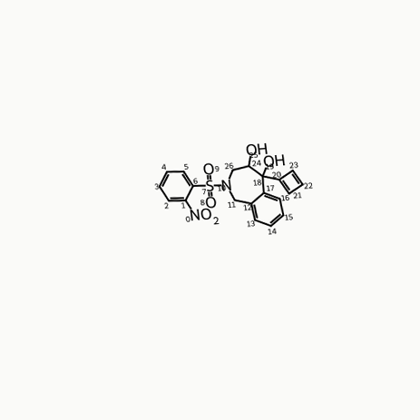 O=[N+]([O-])c1ccccc1S(=O)(=O)N1Cc2ccccc2C(O)(C2=CC=C2)C(O)C1